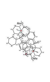 COC(=O)C(C)Oc1c(Cl)ccc(P(=O)(C2CCCCC2)C2CCCCC2)c1-c1c(P(=O)(C2CCCCC2)C2CCCCC2)ccc(Cl)c1OC(C)C(=O)OC